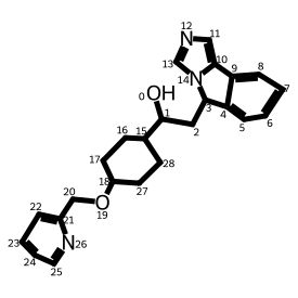 OC(CC1c2ccccc2-c2cncn21)C1CCC(OCc2ccccn2)CC1